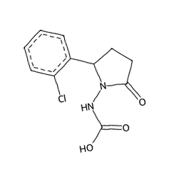 O=C(O)NN1C(=O)CCC1c1ccccc1Cl